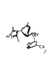 Cc1cc(Nc2nccc(C(F)(F)F)n2)cc(-c2c(C)n[nH]c2C)c1